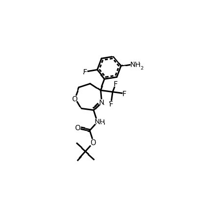 CC(C)(C)OC(=O)NC1=NC(c2cc(N)ccc2F)(C(F)(F)F)CCOC1